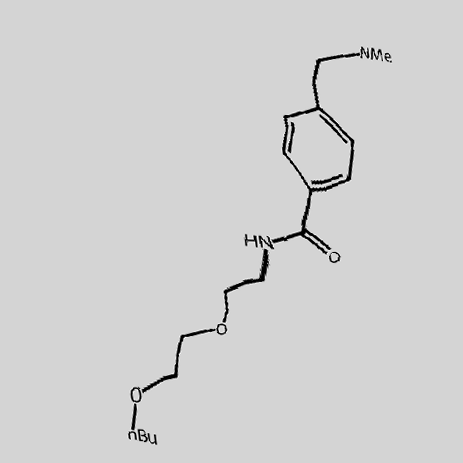 CCCCOCCOCCNC(=O)c1ccc(CNC)cc1